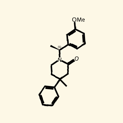 COc1cccc([C@H](C)N2CCC(C)(c3ccccc3)CC2=O)c1